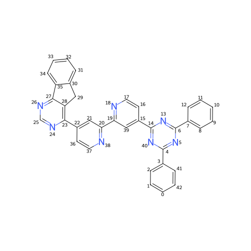 c1ccc(-c2nc(-c3ccccc3)nc(-c3ccnc(-c4cc(-c5ncnc6c5Cc5ccccc5-6)ccn4)c3)n2)cc1